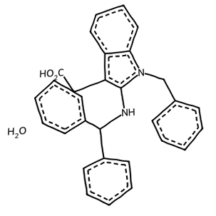 O.O=C(O)Cc1c(NC(c2ccccc2)c2ccccc2)n(Cc2ccccc2)c2ccccc12